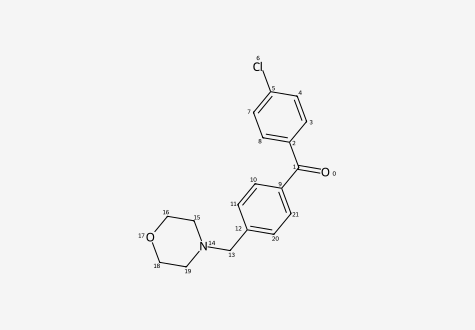 O=C(c1ccc(Cl)cc1)c1ccc(CN2CCOCC2)cc1